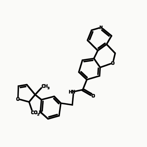 CC1(c2cccc(CNC(=O)c3ccc4c(c3)OCc3cnccc3-4)c2)C=COC1C(=O)O